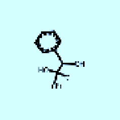 CCCC(O)(Cl)C(O)c1ccccc1